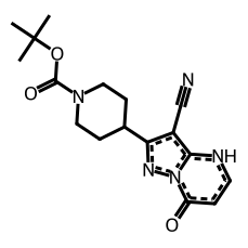 CC(C)(C)OC(=O)N1CCC(c2nn3c(=O)cc[nH]c3c2C#N)CC1